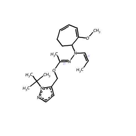 C/C=C\N(/N=C(\C)OCc1ccnn1C(C)(C)C)C1CCC=CC=C1OC